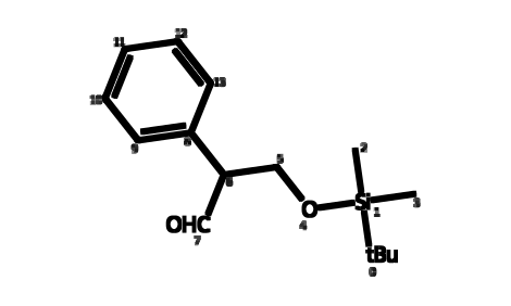 CC(C)(C)[Si](C)(C)OCC(C=O)c1ccccc1